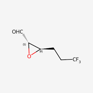 O=C[C@H]1O[C@@H]1CCC(F)(F)F